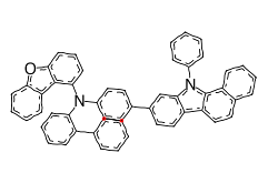 c1ccc(-c2ccccc2N(c2ccc(-c3ccc4c5ccc6ccccc6c5n(-c5ccccc5)c4c3)cc2)c2cccc3oc4ccccc4c23)cc1